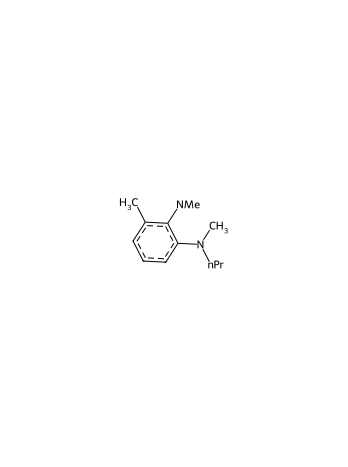 CCCN(C)c1cccc(C)c1NC